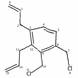 C=CCc1ccc(CCl)c(CCl)c1CC=C